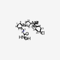 O=C(/C=C/c1ccccc1N1CCC(NS(=O)(=O)c2ccc(Cl)cc2)CC1)NO